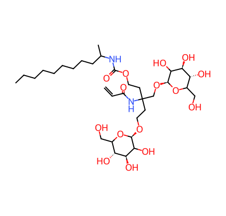 C=CC(=O)NC(CCOC(=O)NC(C)CCCCCCCCC)(CCO[C@@H]1OC(CO)[C@@H](O)[C@H](O)C1O)CO[C@@H]1OC(CO)[C@@H](O)[C@H](O)C1O